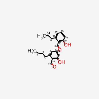 CCCCc1cccc(O)c1C=O.CCCc1cccc(O)c1C=O